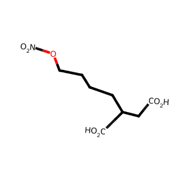 O=C(O)CC(CCCCO[N+](=O)[O-])C(=O)O